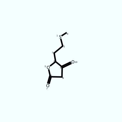 CSCCC1OC(=O)CC1=O